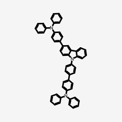 c1ccc(N(c2ccccc2)c2ccc(-c3ccc(-n4c5ccccc5c5cc(-c6ccc(N(c7ccccc7)c7ccccc7)cc6)ccc54)cc3)cc2)cc1